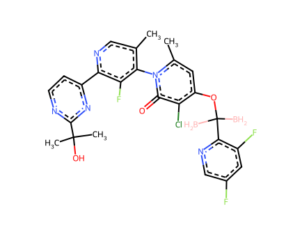 BC(B)(Oc1cc(C)n(-c2c(C)cnc(-c3ccnc(C(C)(C)O)n3)c2F)c(=O)c1Cl)c1ncc(F)cc1F